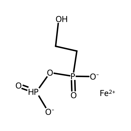 O=[PH]([O-])OP(=O)([O-])CCO.[Fe+2]